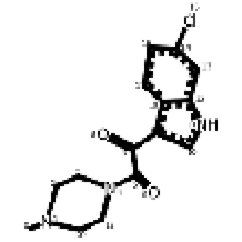 CN1CCN(C(=O)C(=O)c2c[nH]c3cc(Cl)ccc23)CC1